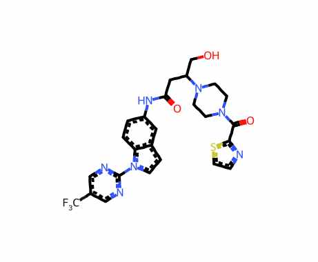 O=C(CC(CO)N1CCN(C(=O)c2nccs2)CC1)Nc1ccc2c(ccn2-c2ncc(C(F)(F)F)cn2)c1